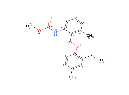 CCc1cc(C)ccc1OCc1c(C)cccc1NC(=O)OC